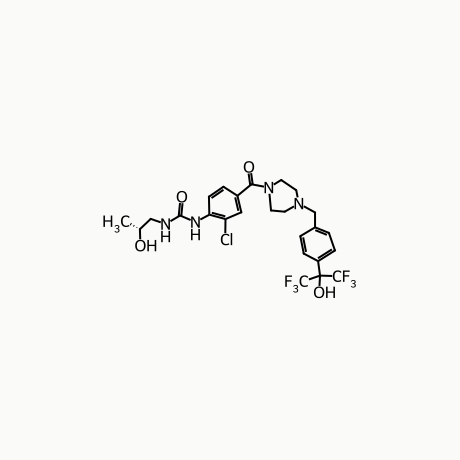 C[C@@H](O)CNC(=O)Nc1ccc(C(=O)N2CCN(Cc3ccc(C(O)(C(F)(F)F)C(F)(F)F)cc3)CC2)cc1Cl